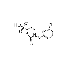 O=c1cc(S(=O)(=O)O)ccn1Nc1cccc(Cl)n1